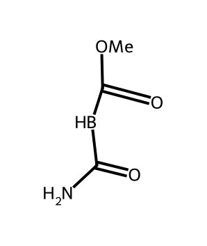 COC(=O)BC(N)=O